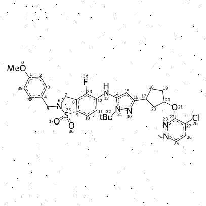 COc1ccc(CN2Cc3c(ccc(Nc4cc(C5CCC(Oc6nnccc6Cl)C5)nn4C(C)(C)C)c3F)S2(=O)=O)cc1